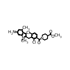 COC(=O)C1CCN(C(=O)c2ccc(Cl)c(Cc3cc4c(C)cc(N)cc4n3C)c2Cl)CC1